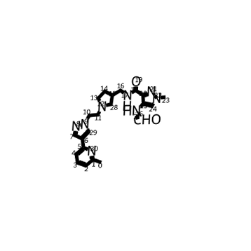 Cc1cccc(-c2cnn(CCN3CCC(CNC(=O)c4nn(C)cc4NC=O)C3)c2)n1